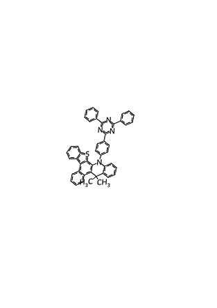 CC1(C)c2ccccc2N(c2ccc(-c3nc(-c4ccccc4)nc(-c4ccccc4)n3)cc2)c2c1c1ccccc1c1c2sc2ccccc21